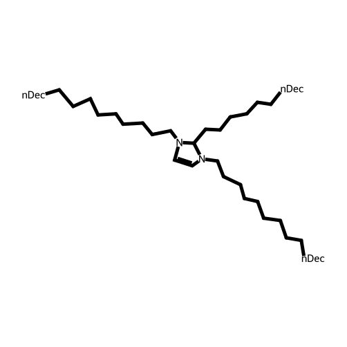 CCCCCCCCCCCCCCCCCCCN1C=CN(CCCCCCCCCCCCCCCCCCC)C1CCCCCCCCCCCCCCCC